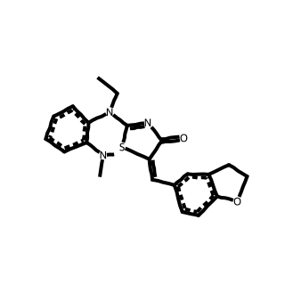 CCN(C1=NC(=O)C(=Cc2ccc3c(c2)CCO3)S1)c1ccccc1N(C)C